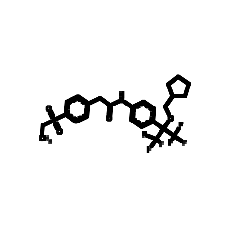 CCS(=O)(=O)c1ccc(CC(=O)Nc2ccc(C(OCC3CCCC3)(C(F)(F)F)C(F)(F)F)cc2)cc1